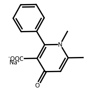 Cc1cc(=O)c(C(=O)[O-])c(-c2ccccc2)n1C.[Na+]